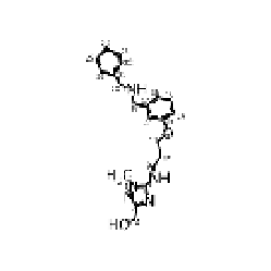 Cn1nc(CO)nc1NCCCOc1cccc(CNCc2ccccc2)c1